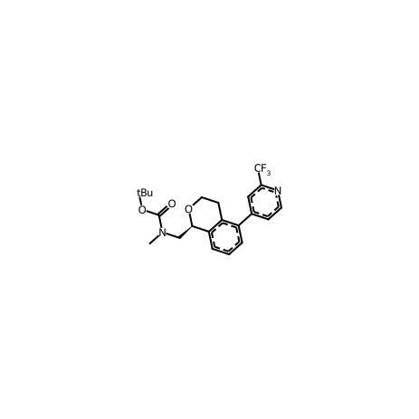 CN(C[C@H]1OCCc2c(-c3ccnc(C(F)(F)F)c3)cccc21)C(=O)OC(C)(C)C